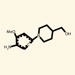 COc1cc(N2CCC(CO)CC2)ccc1N